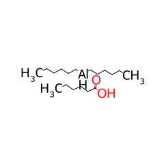 CCCCCC(=O)O.CCCCC[CH2][AlH][CH2]CCCCC